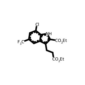 CCOC(=O)CCc1c(C(=O)OCC)[nH]c2c(Cl)cc(C(F)(F)F)cc12